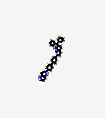 c1ccc(-c2c3ccccc3nc3c2ccc2ccc(-c4ccc(-c5ccc(-c6ccc7ncccc7n6)cc5)cc4)nc23)cc1